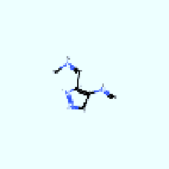 C=NC1=C(/C=N\C)N=NC1